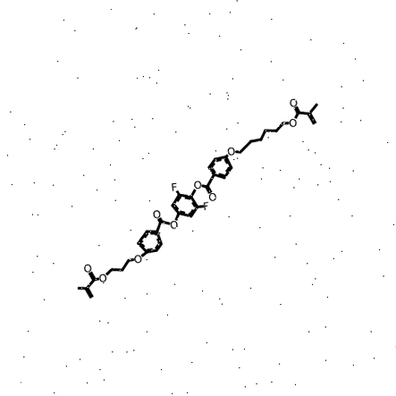 C=C(C)C(=O)OCCCCCCOc1ccc(C(=O)Oc2c(F)cc(OC(=O)c3ccc(OCCCOC(=O)C(=C)C)cc3)cc2F)cc1